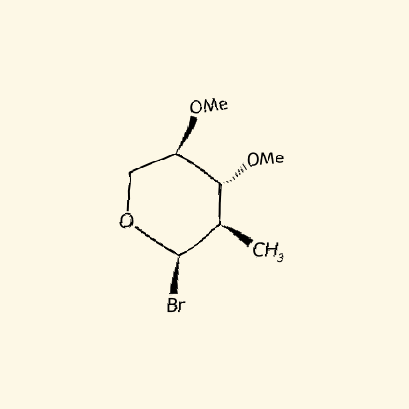 CO[C@@H]1[C@@H](C)[C@@H](Br)OC[C@H]1OC